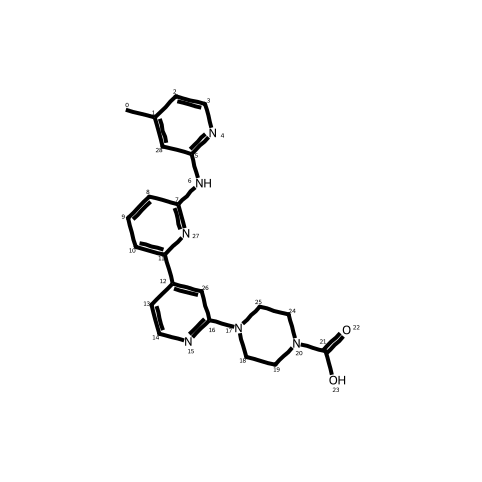 Cc1ccnc(Nc2cccc(-c3ccnc(N4CCN(C(=O)O)CC4)c3)n2)c1